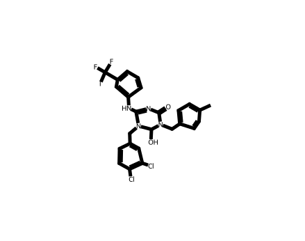 Cc1ccc(CN2C(=O)N=C(Nc3cccc(C(F)(F)I)c3)N(Cc3ccc(Cl)c(Cl)c3)C2O)cc1